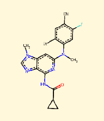 CCc1cc(C#N)c(F)cc1N(C)c1cc2c(ncn2C)c(NC(=O)C2CC2)n1